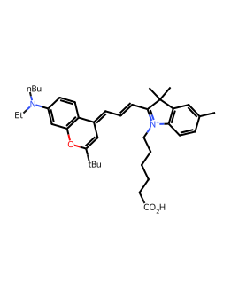 CCCCN(CC)c1ccc2c(c1)OC(C(C)(C)C)=C/C2=C\C=C\C1=[N+](CCCCCC(=O)O)c2ccc(C)cc2C1(C)C